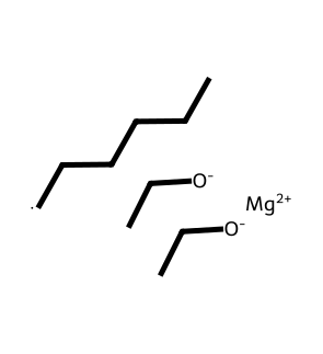 CC[O-].CC[O-].[CH2]CCCCC.[Mg+2]